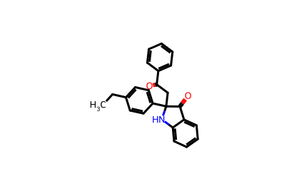 CCc1ccc(C2(CC(=O)c3ccccc3)Nc3ccccc3C2=O)cc1